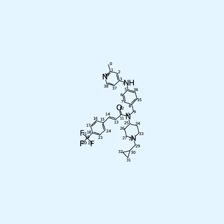 Cc1cc(Nc2ccc(CN(C(=O)/C=C/c3ccc(C(F)(F)F)cc3)C3CCN(CC4CC4)CC3)cc2)ccn1